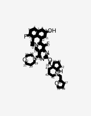 C#Cc1c(F)ccc2cc(O)cc(-c3ncc4c(N5CCCOCC5)nc(OC[C@]56CCC[C@H]5N(CC5CCCO5)CCC6)nc4c3F)c12